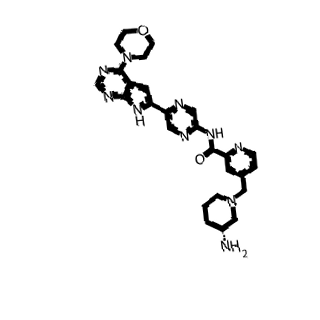 N[C@@H]1CCCN(Cc2ccnc(C(=O)Nc3cnc(-c4cc5c(N6CCOCC6)ncnc5[nH]4)cn3)c2)C1